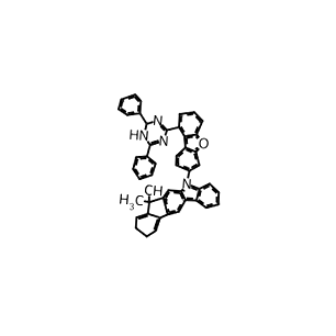 CC1(C)C2=CCCC=C2c2cc3c4ccccc4n(-c4ccc5c(c4)oc4cccc(C6=NC(c7ccccc7)NC(c7ccccc7)=N6)c45)c3cc21